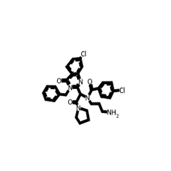 NCCCN(C(=O)c1ccc(Cl)cc1)C(C(=O)N1CCCC1)c1nc2cc(Cl)ccc2c(=O)n1Cc1ccccc1